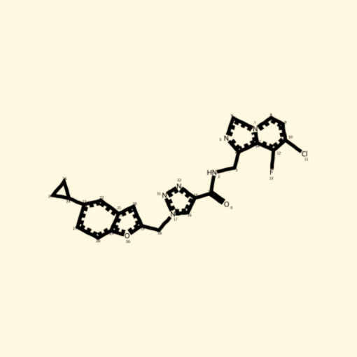 O=C(NCc1ncn2ccc(Cl)c(F)c12)c1cn(Cc2cc3cc(C4CC4)ccc3o2)nn1